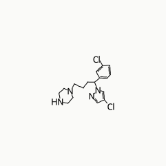 Clc1cccc(C(CCCN2CCNCC2)n2cc(Cl)cn2)c1